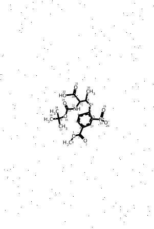 COC(=O)c1ccc(SC(C)C(NC(=O)OC(C)(C)C)C(=O)O)c([N+](=O)[O-])c1